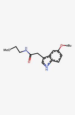 CCCCOc1ccc2[nH]cc(CC(=O)NCCOC)c2c1